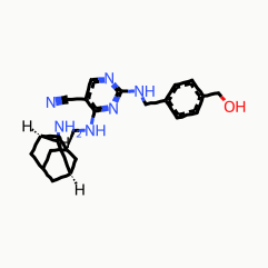 N#Cc1cnc(NCc2ccc(CO)cc2)nc1NC[C@]12CC3C[C@H](C1)[C@@H](N)[C@@H](C3)C2